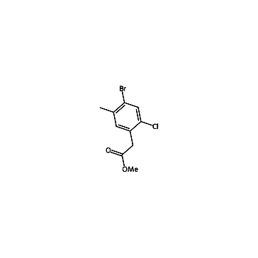 COC(=O)Cc1cc(C)c(Br)cc1Cl